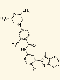 Cc1cc(N2C[C@@H](C)N[C@@H](C)C2)ccc1C(=O)Nc1ccc(Cl)c(-c2nc3ccccc3[nH]2)c1